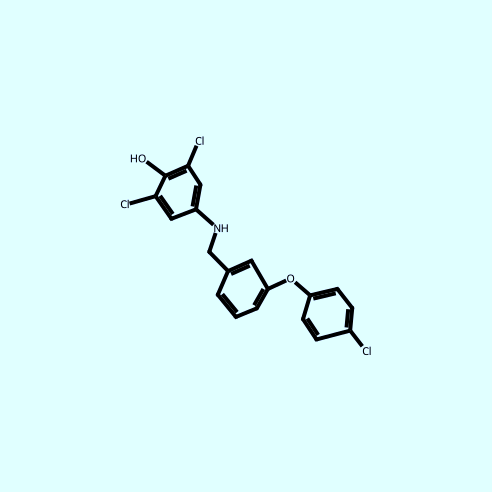 Oc1c(Cl)cc(NCc2cccc(Oc3ccc(Cl)cc3)c2)cc1Cl